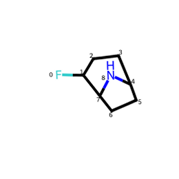 FC1CCC2CCC1N2